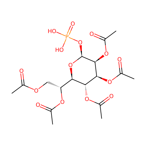 CC(=O)OC[C@@H](OC(C)=O)[C@H]1O[C@@H](OP(=O)(O)O)[C@@H](OC(C)=O)[C@@H](OC(C)=O)[C@@H]1OC(C)=O